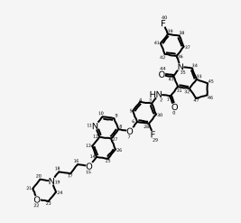 O=C(Nc1ccc(Oc2ccnc3cc(OCCCN4CCOCC4)ccc23)c(F)c1)c1c2c(cn(-c3ccc(F)cc3)c1=O)CCC2